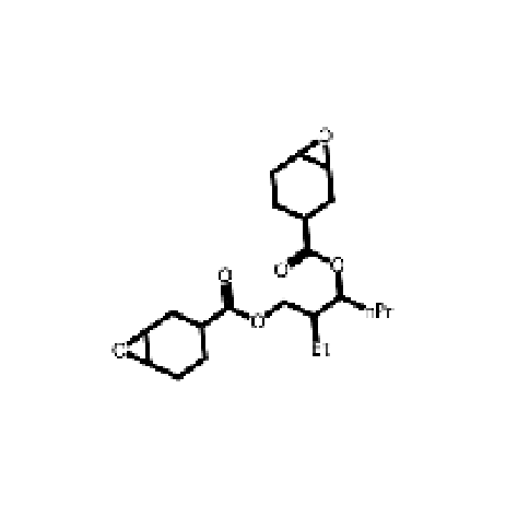 CCCC(OC(=O)C1CCC2OC2C1)C(CC)COC(=O)C1CCC2OC2C1